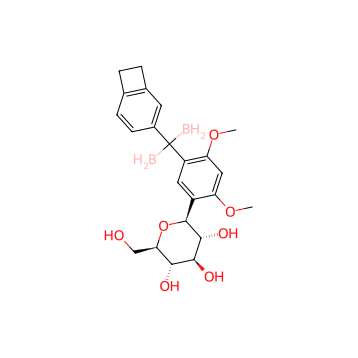 BC(B)(c1ccc2c(c1)CC2)c1cc([C@@H]2O[C@H](CO)[C@@H](O)[C@H](O)[C@H]2O)c(OC)cc1OC